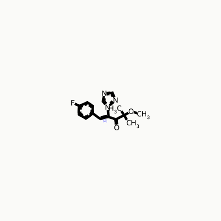 COC(C)(C)C(=O)/C(=C/c1ccc(F)cc1)n1cncn1